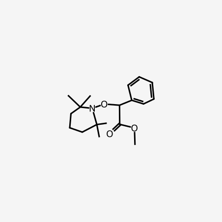 COC(=O)C(ON1C(C)(C)CCCC1(C)C)c1ccccc1